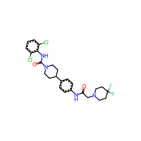 O=C(CN1CCC(F)(F)CC1)Nc1ccc(C2CCN(C(=O)Nc3c(Cl)cccc3Cl)CC2)cc1